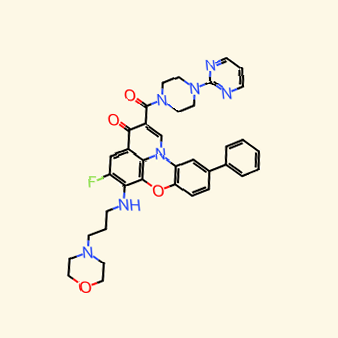 O=C(c1cn2c3c(c(NCCCN4CCOCC4)c(F)cc3c1=O)Oc1ccc(-c3ccccc3)cc1-2)N1CCN(c2ncccn2)CC1